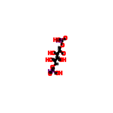 O=C(CO[PH](=O)O)[C@@H](O)[C@@H](O)[C@H](O)CO[PH](=O)O